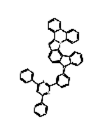 c1ccc(-c2cc(-c3ccccc3)nc(-c3cccc(-n4c5ccccc5c5c4ccc4cc6c7ccccc7c7ccccc7n6c45)c3)n2)cc1